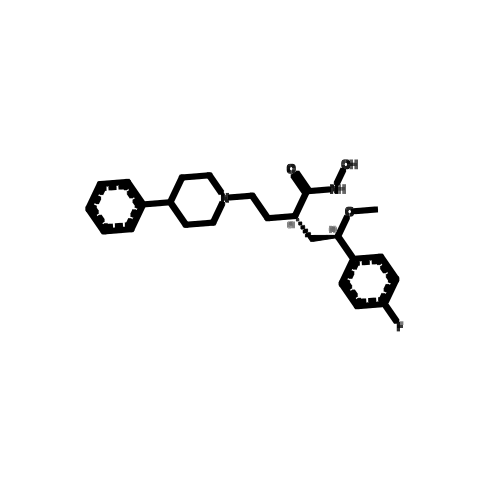 CO[C@H](C[C@H](CCN1CCC(c2ccccc2)CC1)C(=O)NO)c1ccc(F)cc1